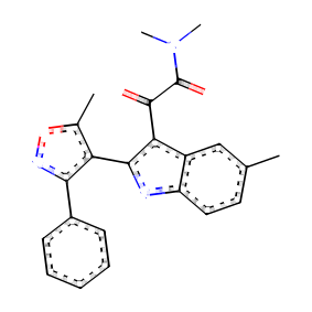 Cc1ccc2[nH]c(-c3c(-c4ccccc4)noc3C)c(C(=O)C(=O)N(C)C)c2c1